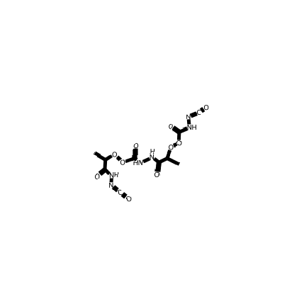 CC(OOC(=O)NNC(=O)C(C)OOC(=O)NN=C=O)C(=O)NN=C=O